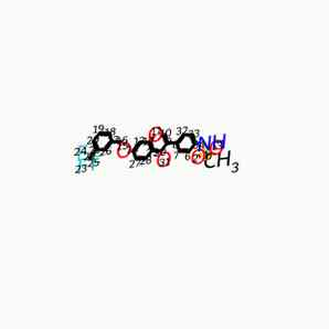 CS(=O)(=O)Nc1ccc(-c2coc3cc(OCc4cccc(C(F)(F)F)c4)ccc3c2=O)cc1